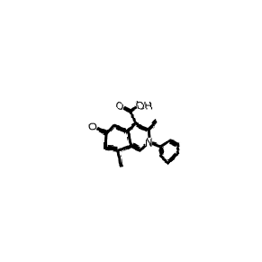 Cc1cc(=O)cc2c(C(=O)O)c(C)n(-c3ccccc3)cc1-2